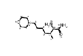 C[C@@H](CCCCN1CCOCC1)[C@@H](N)C(N)=O